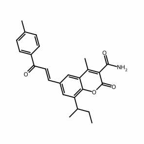 CCC(C)c1cc(C=CC(=O)c2ccc(C)cc2)cc2c(C)c(C(N)=O)c(=O)oc12